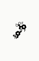 COC(=O)c1cn(Cc2ccc3c(cnn3C)c2)c2c(F)ccc(F)c12